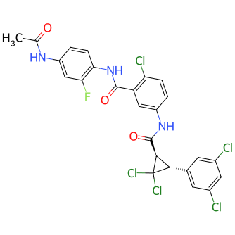 CC(=O)Nc1ccc(NC(=O)c2cc(NC(=O)[C@H]3[C@H](c4cc(Cl)cc(Cl)c4)C3(Cl)Cl)ccc2Cl)c(F)c1